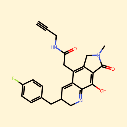 C#CCNC(=O)Cc1c2c(c(O)c3c1=CC(Cc1ccc(F)cc1)CN=3)C(=O)N(C)C2